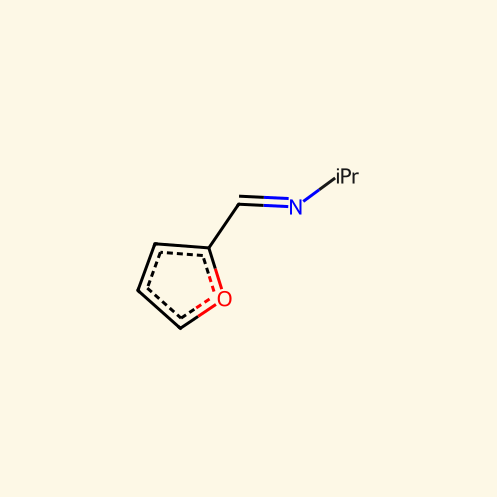 CC(C)N=Cc1ccco1